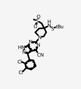 CC(C)(C)SNC1(CS(C)(=O)=O)CCN(c2nc(C#N)c3c(-c4cccc(Cl)c4Cl)n[nH]c3n2)CC1